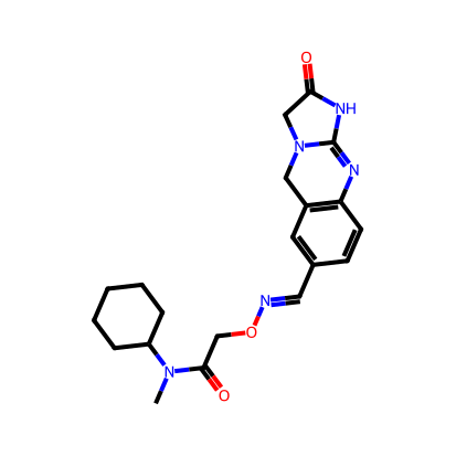 CN(C(=O)CON=Cc1ccc2c(c1)CN1CC(=O)NC1=N2)C1CCCCC1